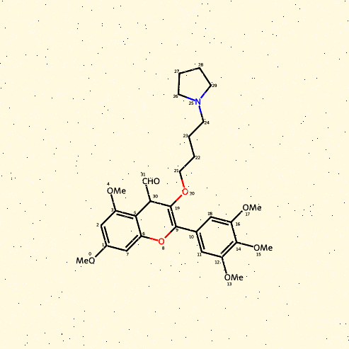 COc1cc(OC)c2c(c1)OC(c1cc(OC)c(OC)c(OC)c1)=C(OCCCCN1CCCC1)C2C=O